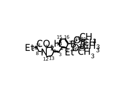 CCc1c(C=C2CCN(CC(CC)C(=O)O)CC2)cccc1B1OC(C)(C)C(C)(C)O1